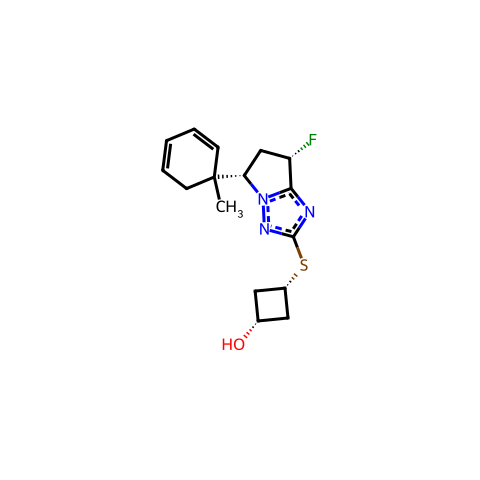 CC1([C@@H]2C[C@H](F)c3nc(S[C@H]4C[C@@H](O)C4)nn32)C=CC=CC1